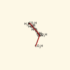 O=C(O)CCCCCCCCCCCCCCCCCCC(=O)N[C@@H](CCC(=O)NCCOCCOCC(=O)NCCOCCOCC(=O)NCCCCC(NP)C(=O)O)C(=O)O